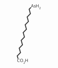 O=C(O)CCCCCCCCCCCCC[AsH2]